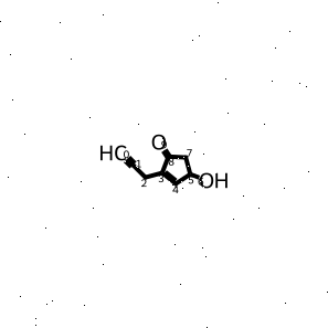 C#CCC1=CC(O)CC1=O